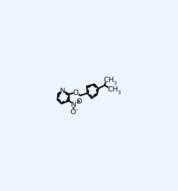 CC(C)c1ccc(COc2ncccc2[N+](=O)[O-])cc1